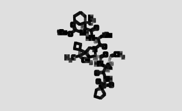 C=C[C@@H]1C[C@]1(NC(=O)[C@@H]1C[C@@]2(CN1C(=O)[C@@H](NC(=O)[C@@H](NC(=O)OC(C)(C)C)C1(C)CCCCC1)C(C)(C)C)C(C)(C)C21CCC1)C(=O)NS(=O)(=O)N1CCCC1